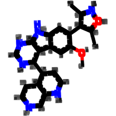 COc1cc2c(cc1-c1c(C)noc1C)[nH]c1ncnc(-c3ccnc4cnccc34)c12